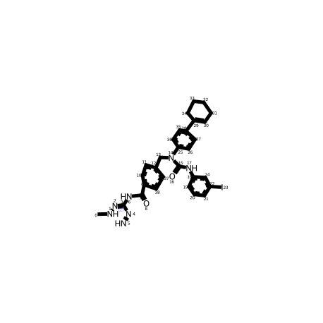 CN/N=C(\N=N)NC(=O)c1ccc(CN(C(=O)Nc2cccc(I)c2)c2ccc(C3=CCCCC3)cc2)cc1